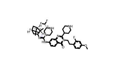 COc1ccc(CCn2c(C3CCNCC3)nc3cc(N/C(=N/C4C[C@H]5C[C@@H]([C@@H]4C)C5(C)C)N4CCN[C@@H](C(F)F)C4)ccc3c2=O)c(F)c1